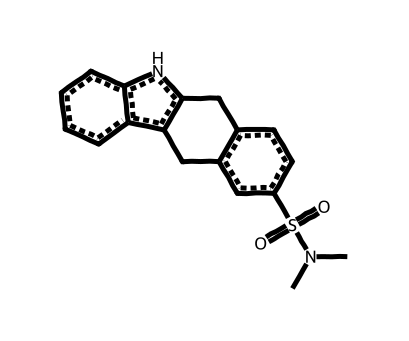 CN(C)S(=O)(=O)c1ccc2c(c1)Cc1c([nH]c3ccccc13)C2